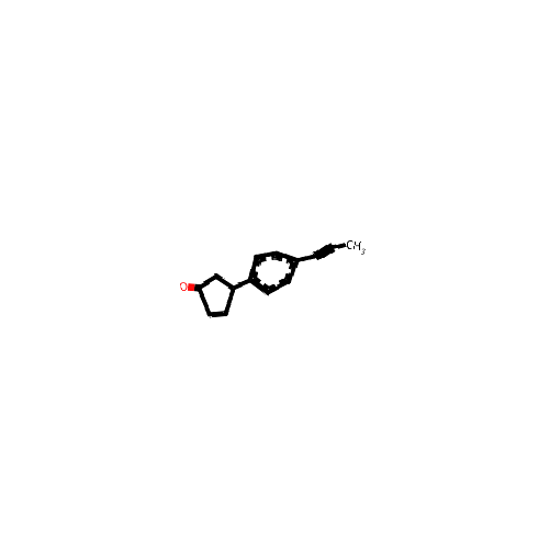 CC#Cc1ccc(C2CCC(=O)C2)cc1